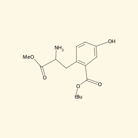 COC(=O)C(N)Cc1ccc(O)cc1C(=O)OC(C)(C)C